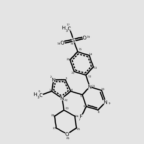 Cc1ncc(C2C(F)=CN=CN2c2ccc(S(C)(=O)=O)cc2)n1C1CCOCC1